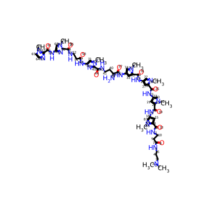 CN(C)CCCNC(=O)CCNC(=O)c1cc(NC(=O)c2cc(NC(=O)c3cc(NC(=O)c4cc(NC(=O)[C@H](N)CCNC(=O)c5nc(NC(=O)CCNC(=O)c6nc(NC(=O)c7nccn7C)cn6C)cn5C)cn4C)cn3C)cn2C)cn1C